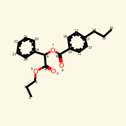 CCCOC(=O)C(OC(=O)c1ccc(CCC)cc1)c1ccccc1